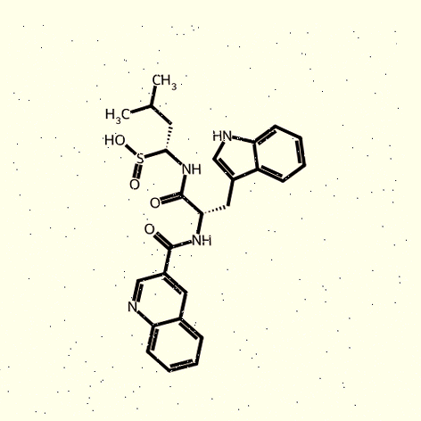 CC(C)C[C@H](NC(=O)[C@H](Cc1c[nH]c2ccccc12)NC(=O)c1cnc2ccccc2c1)S(=O)O